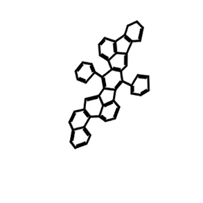 C1=Cc2c(c3cccc4c5c(-c6ccccc6)c6c7cc8ccc9ccccc9c8c8cccc(c6c(-c6ccccc6)c5cc2c34)c78)CC1